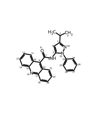 CC(C)c1cc(NC(=O)c2c3ccccc3nc3ccccc23)n(-c2ccccc2)n1